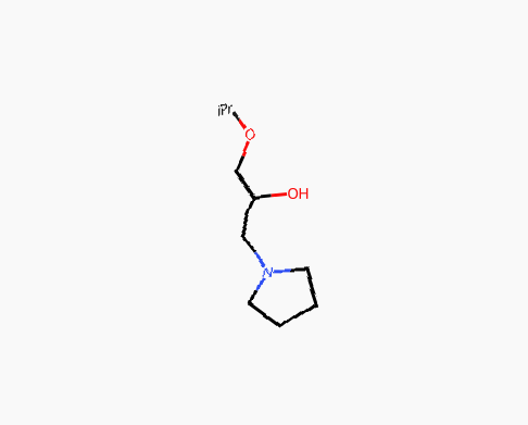 CC(C)OCC(O)CN1CCCC1